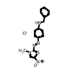 C[n+]1cc([N+](=O)[O-])sc1/N=N/c1ccc(NCc2ccccc2)cc1.[Cl-]